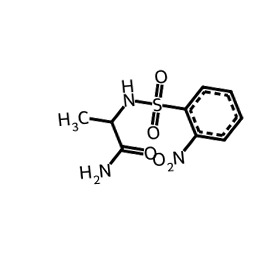 CC(NS(=O)(=O)c1ccccc1[N+](=O)[O-])C(N)=O